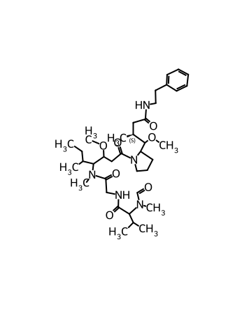 CCC(C)C(C(CC(=O)N1CCCC1C(OC)[C@@H](C)CC(=O)NCCc1ccccc1)OC)N(C)C(=O)CNC(=O)C(C(C)C)N(C)C=O